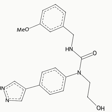 COc1cccc(CNC(=O)N(CCO)c2ccc(-c3cn[nH]c3)cc2)c1